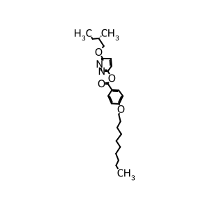 CCCCCCCCCCOc1ccc(C(=O)Oc2ccc(OC[C@@H](C)CC)nn2)cc1